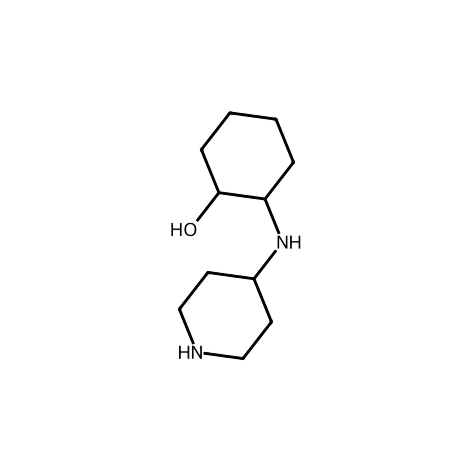 OC1CCCCC1NC1CCNCC1